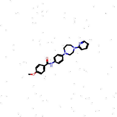 COc1ccc(C(=O)Nc2ccc(N3CCCN(c4ccccn4)CC3)cc2)cc1